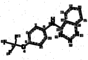 FC(F)(F)Oc1ccc(Nc2nnnc3ccccc23)cc1